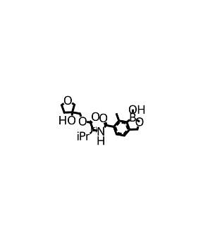 Cc1c(C(=O)N[C@H](C(=O)OCC2(O)CCOC2)C(C)C)ccc2c1B(O)OC2